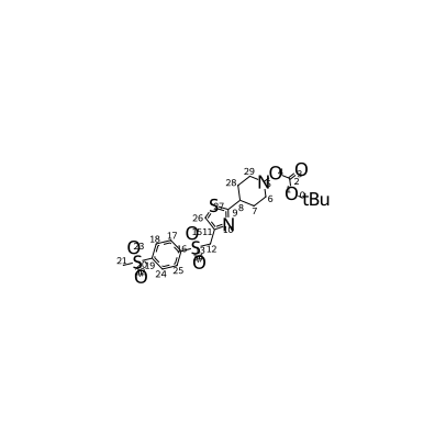 CC(C)(C)OC(=O)ON1CCC(c2nc(CS(=O)(=O)c3ccc(S(C)(=O)=O)cc3)cs2)CC1